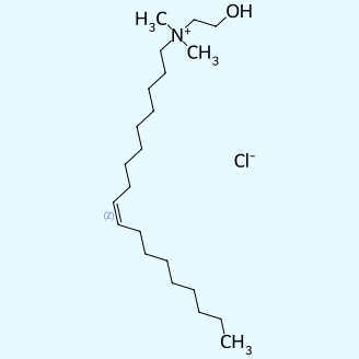 CCCCCCCC/C=C\CCCCCCCC[N+](C)(C)CCO.[Cl-]